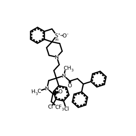 CN(CC(CCN1CCC2(CC1)c1ccccc1C[S@+]2[O-])(c1ccc(Cl)c(Cl)c1)N(C)C(=O)CC(c1ccccc1)c1ccccc1)C(=O)CC(F)(F)F